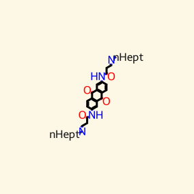 CCCCCCCN=CCC(=O)Nc1ccc2c(c1)C(=O)c1ccc(NC(=O)CC=NCCCCCCC)cc1C2=O